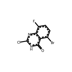 O=c1[nH]c(Cl)nc2c(F)ccc(Br)c12